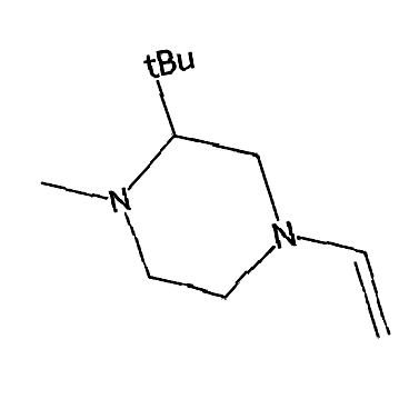 C=CN1CCN(C)C(C(C)(C)C)C1